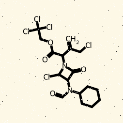 C=C(CCl)C(C(=O)OCC(Cl)(Cl)Cl)N1C(=O)C(N(C=O)C2CCCCC2)C1Cl